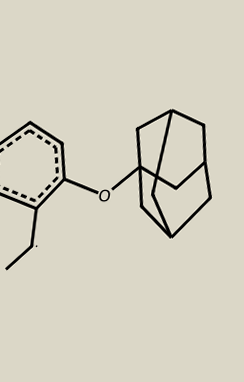 C[CH]c1ccccc1OC12CC3CC(CC(C3)C1)C2